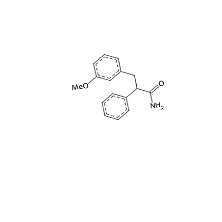 COc1cccc(CC(C(N)=O)c2ccccc2)c1